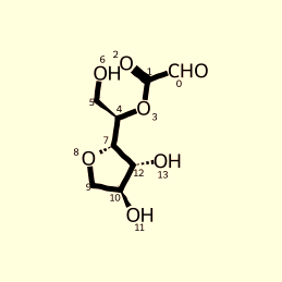 O=CC(=O)O[C@H](CO)[C@H]1OC[C@H](O)[C@H]1O